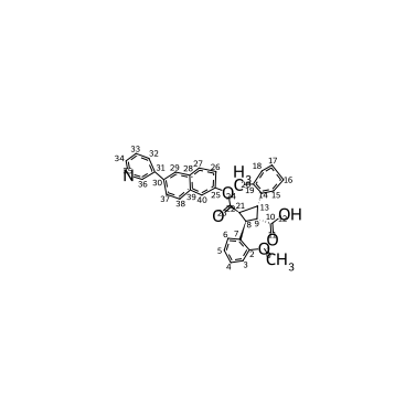 COc1ccccc1[C@@H]1[C@@H](C(=O)O)[C@@H](c2ccccc2C)[C@@H]1C(=O)Oc1ccc2cc(-c3cccnc3)ccc2c1